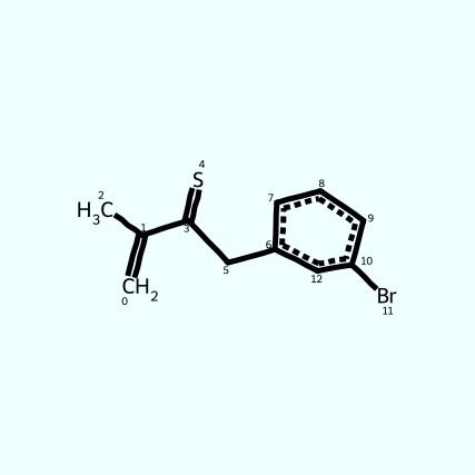 C=C(C)C(=S)Cc1cccc(Br)c1